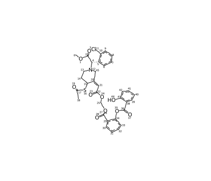 COC(=O)[C@H](c1ccccc1Cl)N1CCC(SC(C)=O)/C(=C\C(=O)OCOC(=O)c2ccccc2OC(=O)c2ccccc2O)C1